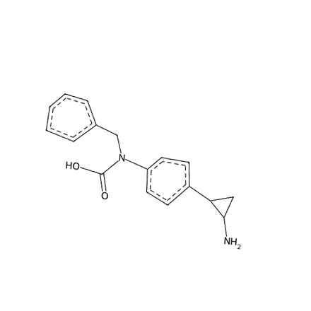 NC1CC1c1ccc(N(Cc2ccccc2)C(=O)O)cc1